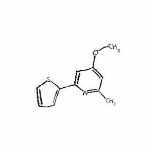 COc1cc(C)nc(-c2cccs2)c1